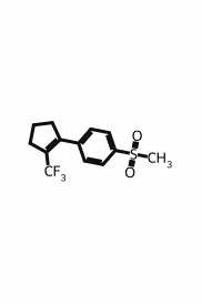 CS(=O)(=O)c1ccc(C2=C(C(F)(F)F)CCC2)cc1